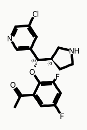 CC(=O)c1cc(F)cc(F)c1O[C@H](c1cncc(Cl)c1)[C@@H]1CCNC1